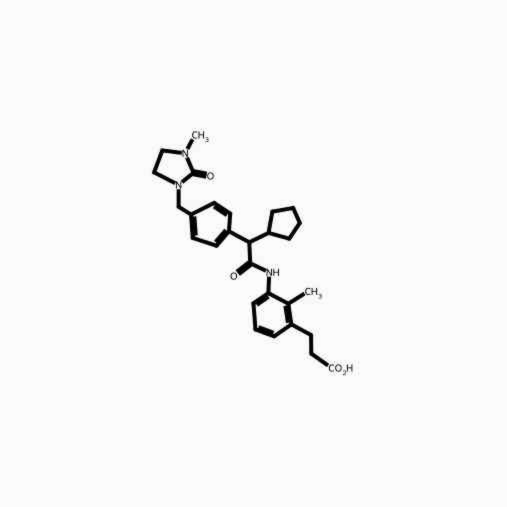 Cc1c(CCC(=O)O)cccc1NC(=O)C(c1ccc(CN2CCN(C)C2=O)cc1)C1CCCC1